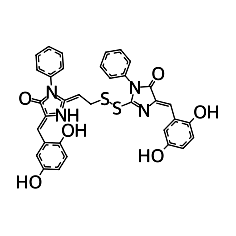 O=C1/C(=C/c2cc(O)ccc2O)N=C(SSCC=c2[nH]/c(=C\c3cc(O)ccc3O)c(=O)n2-c2ccccc2)N1c1ccccc1